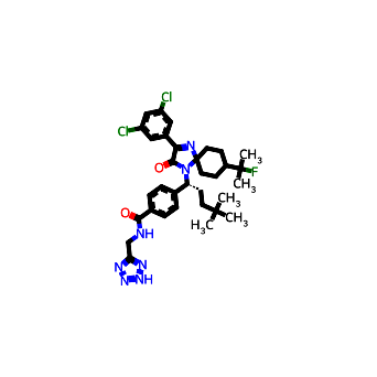 CC(C)(C)CC[C@H](c1ccc(C(=O)NCc2nn[nH]n2)cc1)N1C(=O)C(c2cc(Cl)cc(Cl)c2)=NC12CCC(C(C)(C)F)CC2